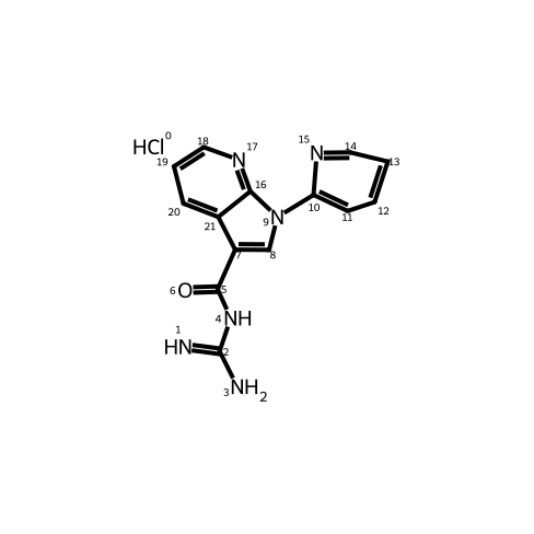 Cl.N=C(N)NC(=O)c1cn(-c2ccccn2)c2ncccc12